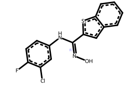 O/N=C(/Nc1ccc(F)c(Cl)c1)c1cc2ccccc2s1